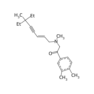 CCC(C)(C#CC=CCN(C)CC(=O)c1ccc(C)c(C)c1)CC